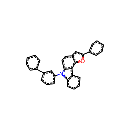 c1ccc(-c2cccc(-n3c4ccccc4c4c5oc(-c6ccccc6)cc5ccc43)c2)cc1